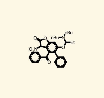 CCCCN(CCCC)C(CC)Oc1cc2c(c(C(=O)c3ccccc3)c1-c1ccccc1)C([N+](=O)[O-])C(=O)O2